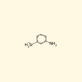 C[SiH2]c1cccc(N)c1